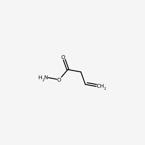 C=CCC(=O)ON